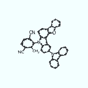 Cc1c(C#N)ccc(C#N)c1-n1c2ccc(-n3c4ccccc4c4ccccc43)cc2c2c3oc4ccccc4c3ccc21